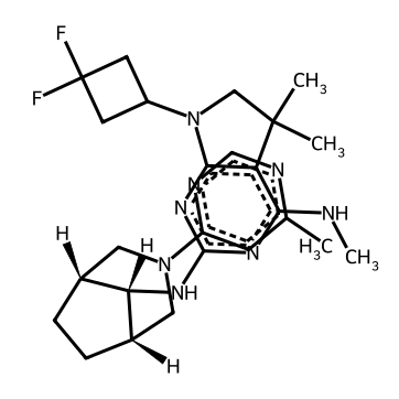 CNc1nc(N[C@H]2[C@@H]3CC[C@H]2CN(c2cc(C)ncn2)C3)nc2c1C(C)(C)CN2C1CC(F)(F)C1